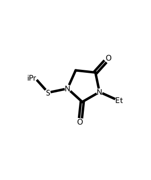 CCN1C(=O)CN(SC(C)C)C1=O